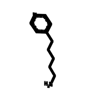 NCCCCCc1ccncc1